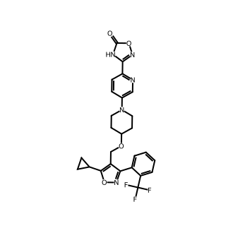 O=c1[nH]c(-c2ccc(N3CCC(OCc4c(-c5ccccc5C(F)(F)F)noc4C4CC4)CC3)cn2)no1